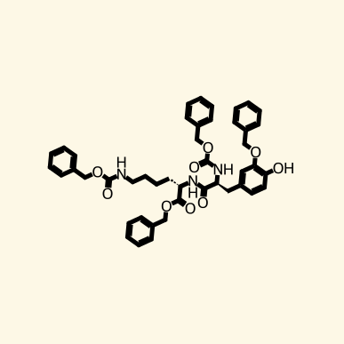 O=C(NCCCC[C@H](NC(=O)[C@H](Cc1ccc(O)c(OCc2ccccc2)c1)NC(=O)OCc1ccccc1)C(=O)OCc1ccccc1)OCc1ccccc1